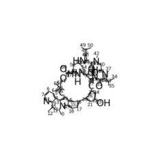 CCn1c(-c2cccnc2C(C)C)c2c3cc(ccc31)-c1cc(O)cc(c1)C[C@H](NC(=O)[C@H](C(C)C)N(C)C(=O)CN(C)C(=O)[C@@H]1N[C@@H]1C(C)C)C(=O)N1CCC[C@H](N1)C(=O)OCC(C)(C)C2